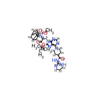 COC(=O)N([C@@H](Cn1cnc2c(N3CCC(C(=O)NC4=NCCCN4)CC3)ncnc21)C(=O)OC(C)(C)C)C12CC3CC(CC(C3)C1)C2